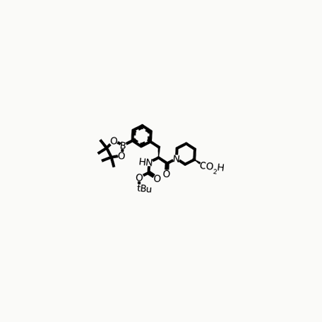 CC(C)(C)OC(=O)N[C@@H](Cc1cccc(B2OC(C)(C)C(C)(C)O2)c1)C(=O)N1CCC[C@@H](C(=O)O)C1